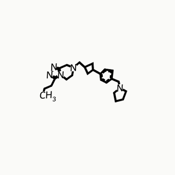 CCCc1nnc2n1CCN(CC1CC(c3ccc(CN4CCCC4)cc3)C1)C2